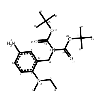 CCN(C)c1ccc(N)cc1CN(C(=O)OC(C)(C)C)C(=O)OC(C)(C)C